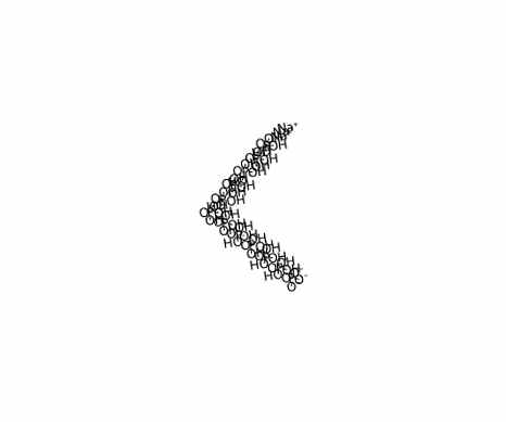 O=P(O)(O)O.O=P(O)(O)O.O=P(O)(O)O.O=P(O)(O)O.O=P(O)(O)O.O=P(O)(O)O.O=P(O)(O)O.O=P(O)(O)O.O=P(O)(O)O.O=P(O)(O)O.O=P(O)(O)O.O=P([O-])([O-])[O-].[Na+].[Na+].[Na+]